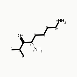 C[C](C)C(=O)[C@@H](N)CCCCN